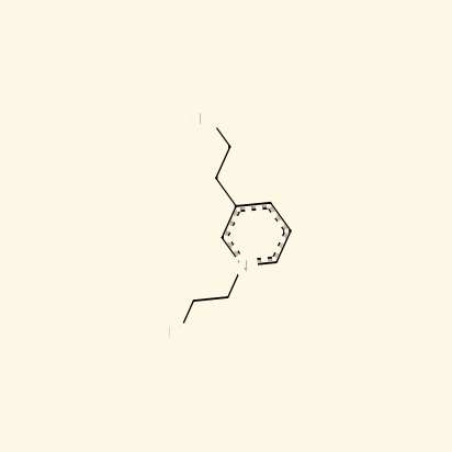 OCCc1ccc[n+](CCO)c1